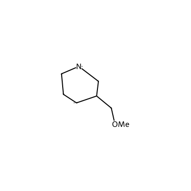 COCC1[CH]CC[N]C1